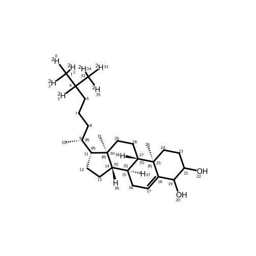 [2H]C([2H])([2H])C([2H])(CCC[C@@H](C)[C@H]1CC[C@H]2[C@@H]3CC=C4C(O)C(O)CC[C@]4(C)[C@H]3CC[C@]12C)C([2H])([2H])[2H]